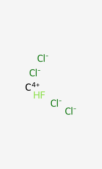 F.[C+4].[Cl-].[Cl-].[Cl-].[Cl-]